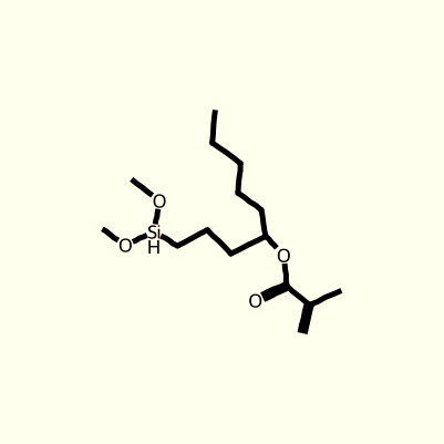 C=C(C)C(=O)OC(CCCCC)CCC[SiH](OC)OC